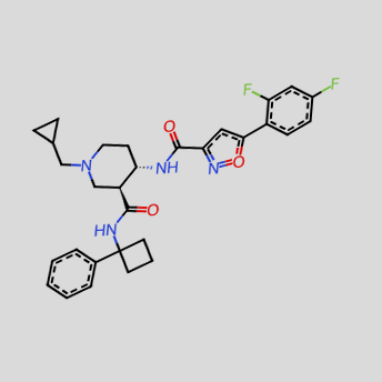 O=C(N[C@H]1CCN(CC2CC2)C[C@@H]1C(=O)NC1(c2ccccc2)CCC1)c1cc(-c2ccc(F)cc2F)on1